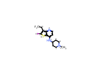 CN1CCC(Nc2ccnc3c(CC(F)(F)F)c(I)sc23)CC1